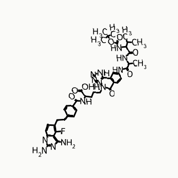 CC(NC(=O)C(NC(=O)OC(C)(C)C)C(C)C)C(=O)Nc1ccc(C(=O)NCCCC(NC(=O)c2ccc(CCc3ccc4nc(N)nc(N)c4c3F)cc2)C(=O)O)c(-c2nnn[nH]2)c1